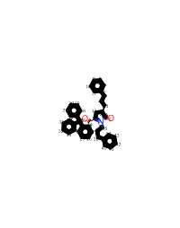 O=C1[C@H](CCCc2ccccc2)C[C@@H](COC(c2ccccc2)(c2ccccc2)c2ccccc2)N1CCCc1ccccc1